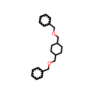 c1ccc(COCC2CCC(COCc3ccccc3)CC2)cc1